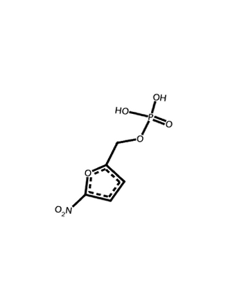 O=[N+]([O-])c1ccc(COP(=O)(O)O)o1